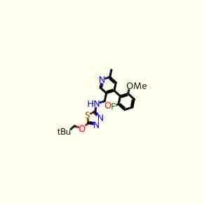 COc1cccc(F)c1-c1cc(C)ncc1C(=O)Nc1nnc(OCC(C)(C)C)s1